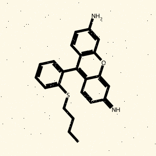 CCCCSc1ccccc1-c1c2ccc(=N)cc-2oc2cc(N)ccc12